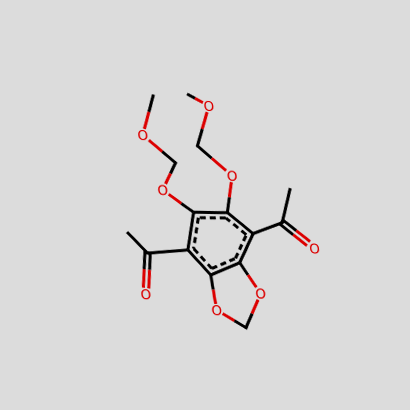 COCOc1c(OCOC)c(C(C)=O)c2c(c1C(C)=O)OCO2